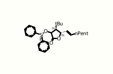 CCCCCC=C[C@@H]1OC(=O)C(O[SiH](c2ccccc2)c2ccccc2)[C@H]1C(C)(C)C